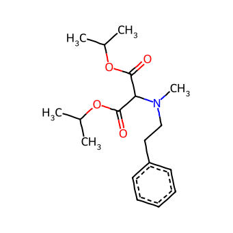 CC(C)OC(=O)C(C(=O)OC(C)C)N(C)CCc1ccccc1